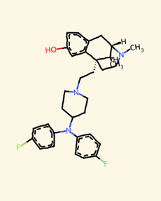 C[C@@H]1[C@@H]2Cc3ccc(O)cc3[C@]1(CCN1CCC(N(c3ccc(F)cc3)c3ccc(F)cc3)CC1)CCN2C